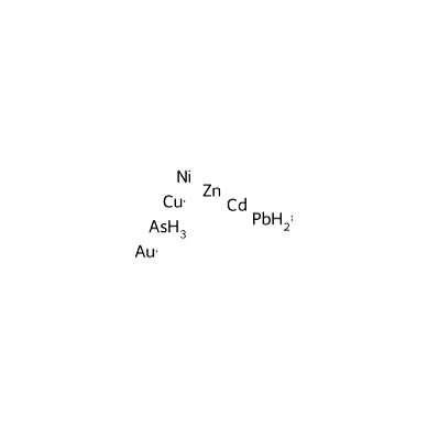 [AsH3].[Au].[Cd].[Cu].[Ni].[PbH2].[Zn]